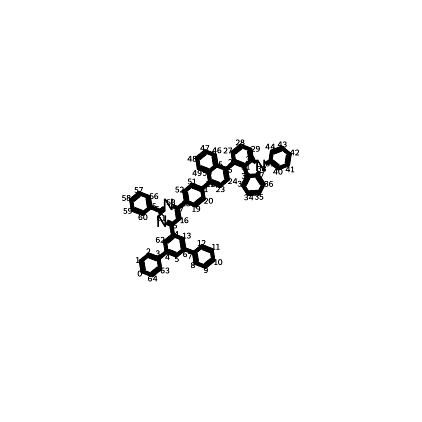 c1ccc(-c2cc(-c3ccccc3)cc(-c3cc(-c4ccc(-c5ccc(-c6cccc7c6c6ccccc6n7-c6ccccc6)c6ccccc56)cc4)nc(-c4ccccc4)n3)c2)cc1